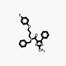 Cc1nc(C(=O)N(CCCOc2ccc(F)cc2)Cc2ccccc2)c(-c2ccccc2)s1